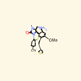 C=c1cc(OC)c(/C=C/c2ccsc2)c/c1=c1/c(=C\N)n(C)c(=O)n1-c1ccc(C#N)cc1F